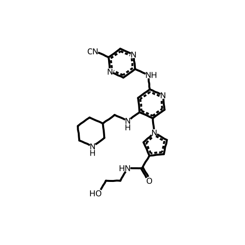 [C-]#[N+]c1cnc(Nc2cc(NCC3CCCNC3)c(-n3ccc(C(=O)NCCO)c3)cn2)cn1